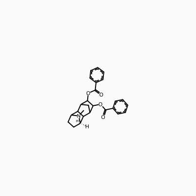 CN1C2CC[C@@H]1C1C3CC(C(OC(=O)c4ccccc4)C3OC(=O)c3ccccc3)C12